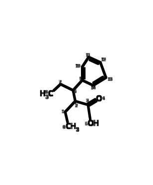 CC[C](C(=O)O)C(CC)c1ccccc1